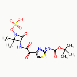 CC(C)(C)OC(=O)Nc1nc(C(=O)C(=O)N[C@@H]2C(=O)N(OS(=O)(=O)O)C2(C)C)cs1